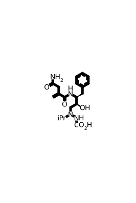 C=C(CC(N)=O)C(=O)N[C@@H](Cc1ccccc1)[C@@H](O)CN(NC(=O)O)C(C)C